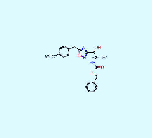 COc1ccc(Cc2nc(C(O)[C@@H](NC(=O)OCc3ccccc3)C(C)C)no2)cc1